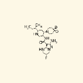 CCC(C)C1CC(N2CCS(=O)(=O)CC2)C(NC(=O)c2c(N)nn3c2NCC(F)C3)CN1